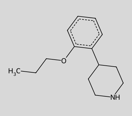 CCCOc1ccccc1C1CCNCC1